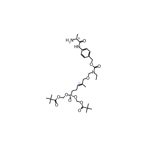 CCN(COC/C(C)=C/CCP(=O)(OCOC(=O)C(C)(C)C)OCOC(=O)C(C)(C)C)C(=O)OCc1ccc(NC(=O)[C@H](C)N)cc1